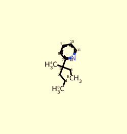 CCCC(C)(CC)c1ccccn1